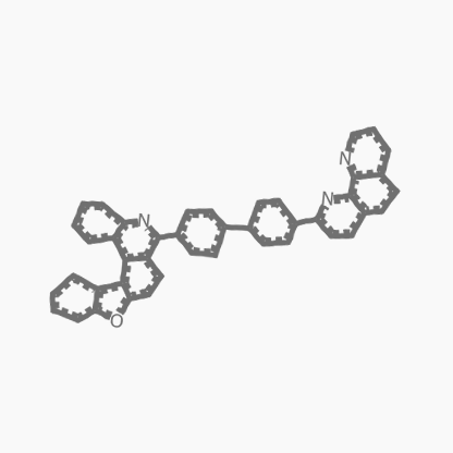 c1cnc2c(c1)ccc1ccc(-c3ccc(-c4ccc(-c5nc6ccccc6c6c5ccc5oc7ccccc7c56)cc4)cc3)nc12